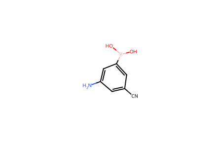 N#Cc1cc(N)cc(B(O)O)c1